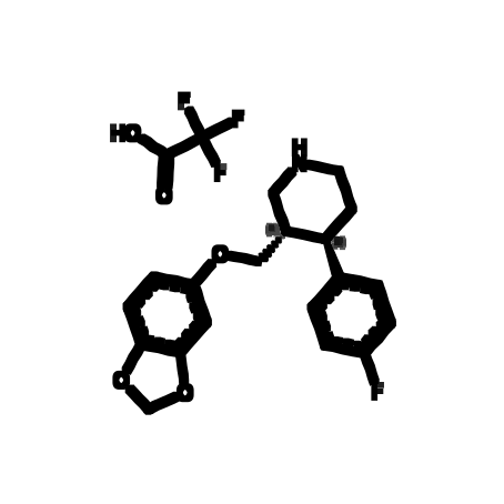 Fc1ccc([C@@H]2CCNC[C@H]2COc2ccc3c(c2)OCO3)cc1.O=C(O)C(F)(F)F